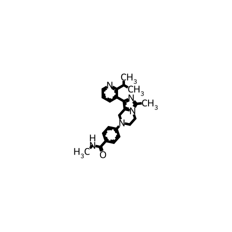 CNC(=O)c1ccc(N2CCn3c(C)nc(-c4cccnc4C(C)C)c3C2)cc1